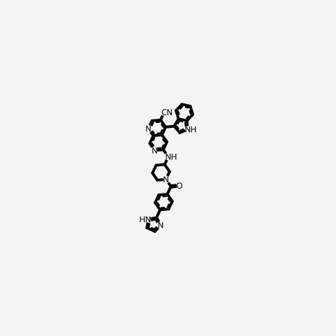 N#Cc1cnc2cnc(NC3CCCN(C(=O)c4ccc(-c5ncc[nH]5)cc4)C3)cc2c1-c1c[nH]c2ccccc12